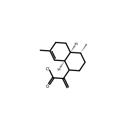 C=C(C(=O)Cl)C1CC[C@@H](C)[C@@H]2CCC(C)=C[C@H]12